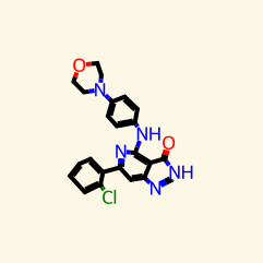 O=c1[nH]cnc2cc(-c3ccccc3Cl)nc(Nc3ccc(N4CCOCC4)cc3)c12